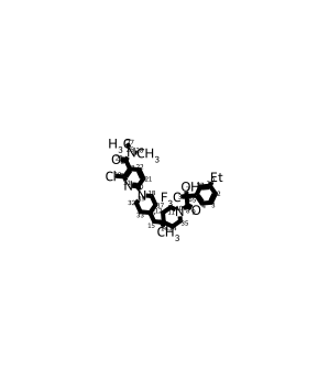 CCc1cccc(C(O)(C(=O)N2CCC(C)(CC3CCN(c4ccc(C(=O)N(C)C)c(Cl)n4)CC3)CC2)C(F)(F)F)c1